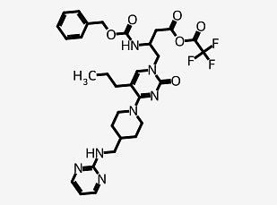 CCCc1cn(CC(CC(=O)OC(=O)C(F)(F)F)NC(=O)OCc2ccccc2)c(=O)nc1N1CCC(CNc2ncccn2)CC1